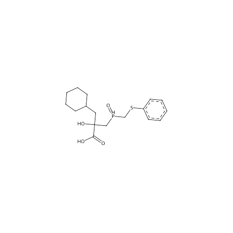 O=C(O)C(O)(CC1CCCCC1)C[PH](=O)CSc1ccccc1